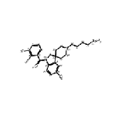 O=C(c1cccc(F)c1F)N1CC2(CCN(CCCC[AsH2])CC2)c2cc(Cl)ccc21